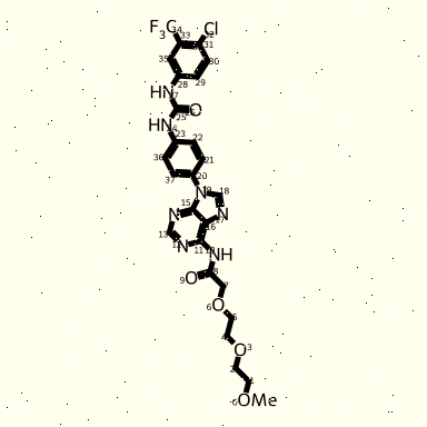 COCCOCCOCC(=O)Nc1ncnc2c1ncn2-c1ccc(NC(=O)Nc2ccc(Cl)c(C(F)(F)F)c2)cc1